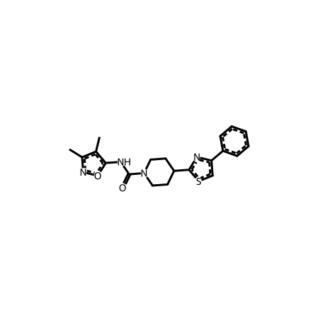 Cc1noc(NC(=O)N2CCC(c3nc(-c4ccccc4)cs3)CC2)c1C